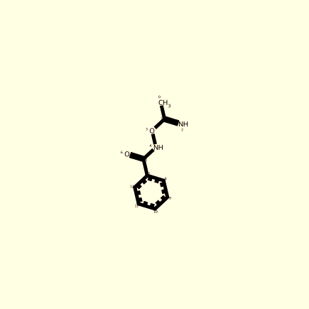 CC(=N)ONC(=O)c1ccccc1